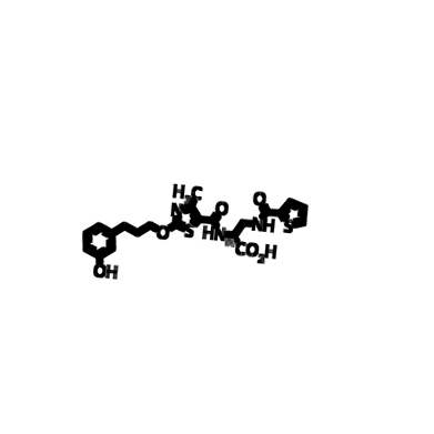 Cc1nc(OCCCc2cccc(O)c2)sc1C(=O)N[C@@H](CNC(=O)c1cccs1)C(=O)O